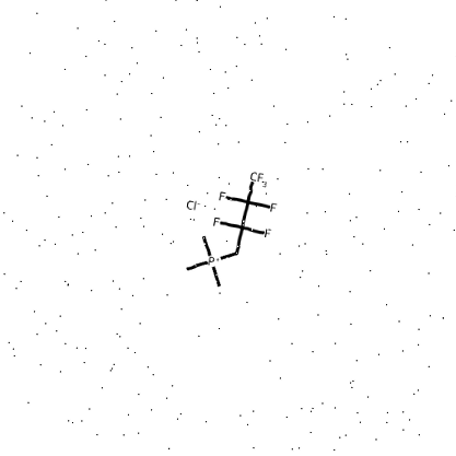 C[P+](C)(C)CC(F)(F)C(F)(F)C(F)(F)F.[Cl-]